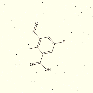 Cc1c(N=O)cc(F)cc1C(=O)O